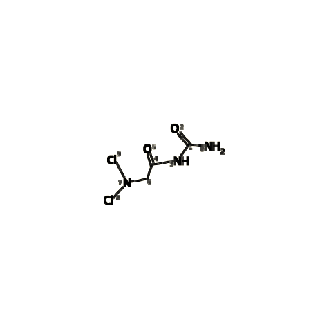 NC(=O)NC(=O)CN(Cl)Cl